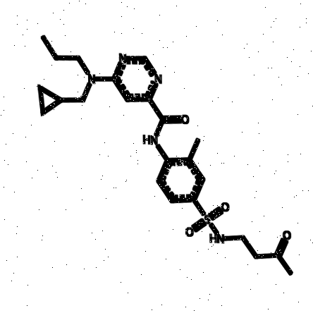 CCCN(CC1CC1)c1cc(C(=O)Nc2ccc(S(=O)(=O)NCCC(C)=O)cc2C)ncn1